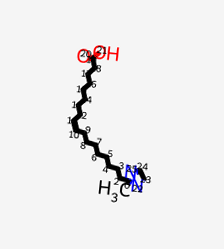 CC1(CCCCCCCC/C=C\CCCCCCCC(=O)O)N=CC=N1